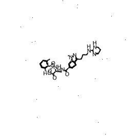 Cc1cccc(C)c1S(=O)(=O)NC(CNC(=O)c1ccc2c(CCCNC3N=CCCN3)nn(C)c2c1)C(=O)O